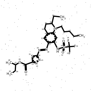 CCCCCN1c2cc(NS(=O)(=O)C(F)(F)F)c(N=Nc3nnc(C(=O)OC(C)CC)s3)cc2CCC1CC